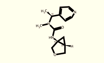 C[C@@H](c1ccncc1)N(C)C(=O)N[C@]12COC[C@H]1C2